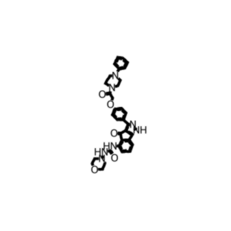 O=C(Nc1cccc2c1C(=O)c1c(-c3ccc(OCC(=O)N4CCN(c5ccccc5)CC4)cc3)n[nH]c1-2)NN1CCOCC1